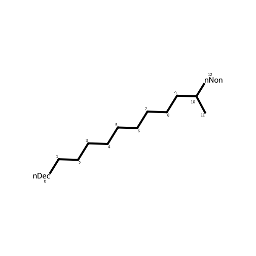 [CH2]CCCCCCCCCCCCCCCCCCC(C)CCCCCCCC[CH2]